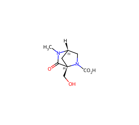 CN1C(=O)[C@]2(CO)C[C@H]1CN2C(=O)O